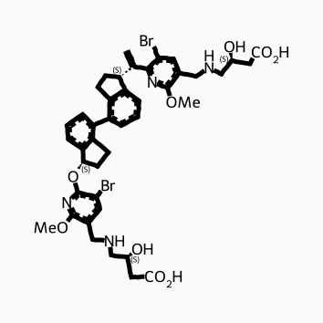 C=C(c1nc(OC)c(CNC[C@@H](O)CC(=O)O)cc1Br)[C@H]1CCc2c(-c3cccc4c3CC[C@@H]4Oc3nc(OC)c(CNC[C@@H](O)CC(=O)O)cc3Br)cccc21